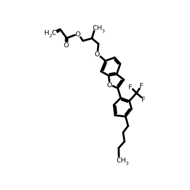 C=CC(=O)OCC(C)COc1ccc2cc(-c3ccc(CCCCC)cc3C(F)(F)F)oc2c1